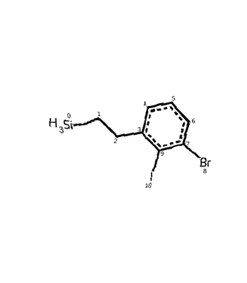 [SiH3]CCc1cccc(Br)c1I